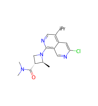 CC(C)c1cnc(N2C[C@@H](C(=O)N(C)C)[C@@H]2C)c2cnc(Cl)cc12